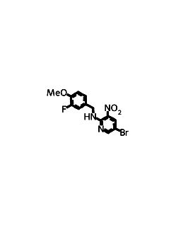 COc1ccc(CNc2ncc(Br)cc2[N+](=O)[O-])cc1F